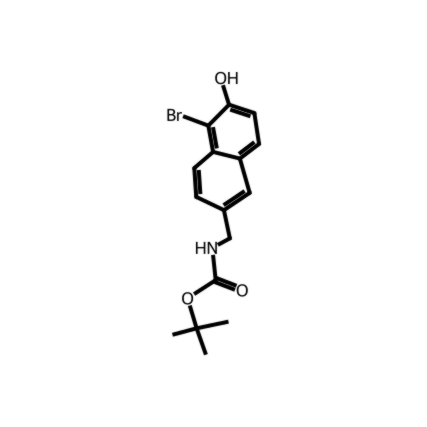 CC(C)(C)OC(=O)NCc1ccc2c(Br)c(O)ccc2c1